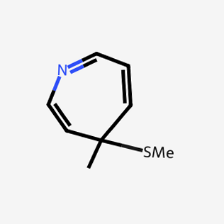 CSC1(C)C=CC=NC=C1